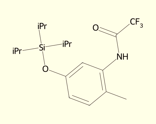 Cc1ccc(O[Si](C(C)C)(C(C)C)C(C)C)cc1NC(=O)C(F)(F)F